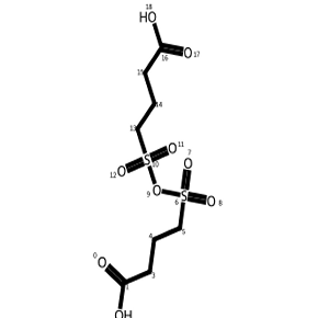 O=C(O)CCCS(=O)(=O)OS(=O)(=O)CCCC(=O)O